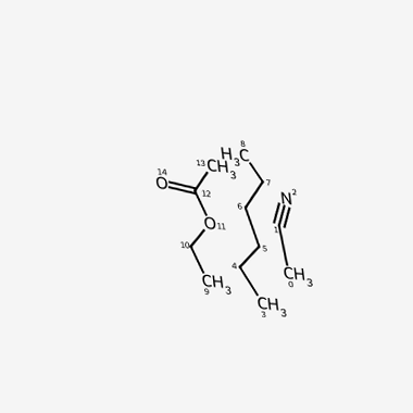 CC#N.CCCCCC.CCOC(C)=O